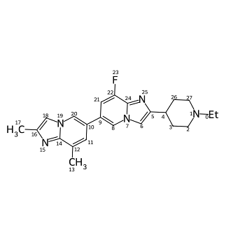 CCN1CCC(c2cn3cc(-c4cc(C)c5nc(C)cn5c4)cc(F)c3n2)CC1